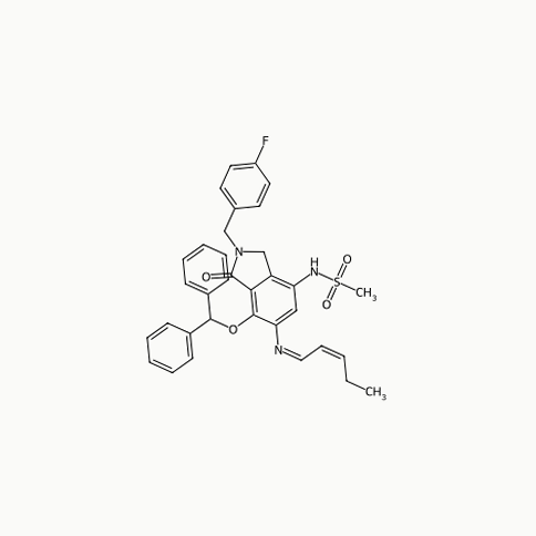 CC/C=C\C=N/c1cc(NS(C)(=O)=O)c2c(c1OC(c1ccccc1)c1ccccc1)C(=O)N(Cc1ccc(F)cc1)C2